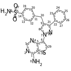 Nc1ncnc2c(-n3cc(Cc4ccc(S(N)(=O)=O)cc4)c(-c4ccccc4)n3)csc12